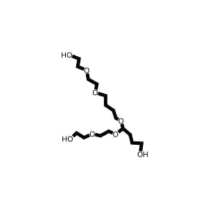 OCCCC(OCCCCOCCOCCO)OCCOCCO